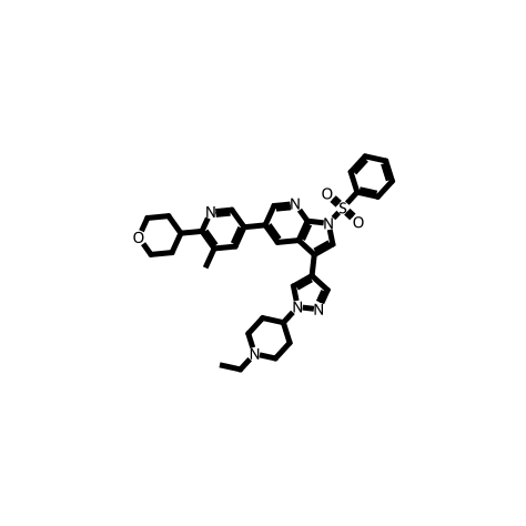 CCN1CCC(n2cc(-c3cn(S(=O)(=O)c4ccccc4)c4ncc(-c5cnc(C6CCOCC6)c(C)c5)cc34)cn2)CC1